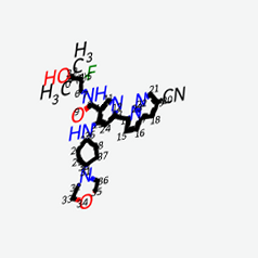 CC(C)(O)[C@H](F)CNC(=O)c1cnc(-c2ccc3cc(C#N)cnn23)cc1NC1CCC(N2CCOCC2)CC1